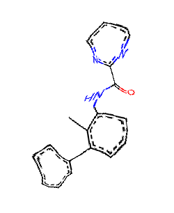 Cc1c(NC(=O)c2ncccn2)cccc1-c1ccccc1